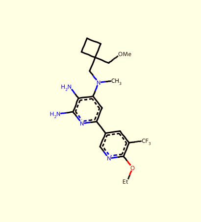 CCOc1ncc(-c2cc(N(C)CC3(COC)CCC3)c(N)c(N)n2)cc1C(F)(F)F